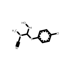 CP(C#N)C(PO)Sc1ccc(Cl)cc1